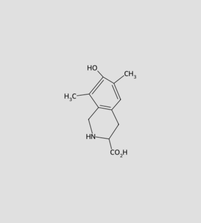 Cc1cc2c(c(C)c1O)CNC(C(=O)O)C2